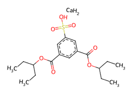 CCC(CC)OC(=O)c1cc(C(=O)OC(CC)CC)cc(S(=O)(=O)O)c1.[CaH2]